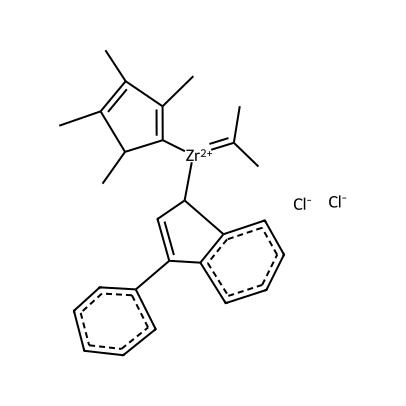 CC1=C(C)C(C)[C]([Zr+2](=[C](C)C)[CH]2C=C(c3ccccc3)c3ccccc32)=C1C.[Cl-].[Cl-]